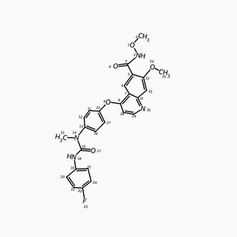 CONC(=O)c1cc2c(Oc3ccc(N(C)C(=O)Nc4ccc(F)cc4)cc3)ccnc2cc1OC